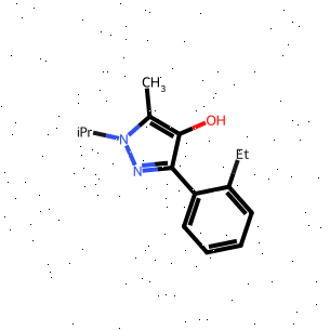 CCc1ccccc1-c1nn(C(C)C)c(C)c1O